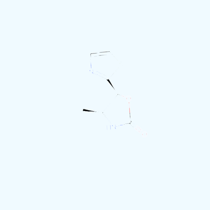 C[C@@H]1NC(=O)O[C@@H]1c1nccs1